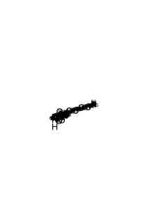 C=C1CCC(N2C(=O)c3ccc(OCCOCCOCCOCCN(C)C)cc3C2=O)C(=O)N1